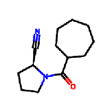 N#C[C@@H]1CCCN1C(=O)C1CCCCCC1